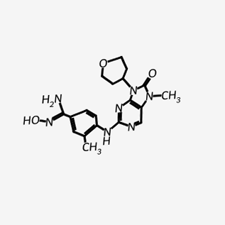 Cc1cc(C(N)=NO)ccc1Nc1ncc2c(n1)n(C1CCOCC1)c(=O)n2C